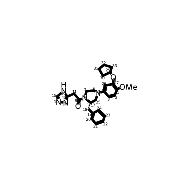 COc1ccc(N2CCN(C(=O)Cc3nnc[nH]3)[C@@H](Cc3ccccc3)C2)cc1OC1CCCC1